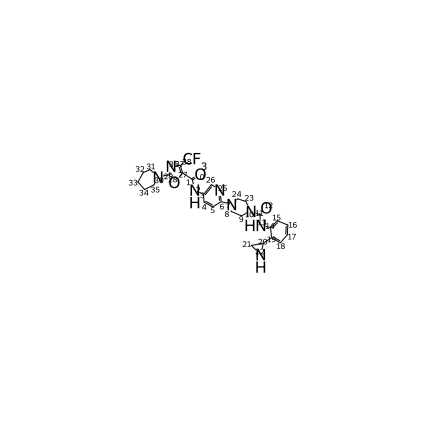 O=C(Nc1ccc(N2CCN(C(=O)Nc3ccccc3C3CN3)CC2)nc1)c1oc(N2CCCCC2)nc1C(F)(F)F